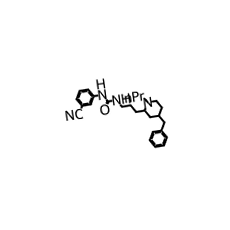 CCCN1CCC(Cc2ccccc2)CC1CCCNC(=O)Nc1cccc(C#N)c1